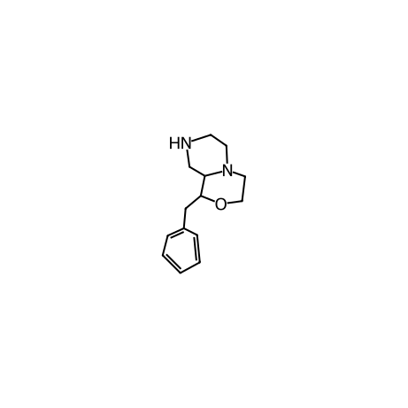 c1ccc(CC2OCCN3CCNCC23)cc1